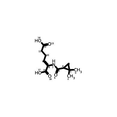 CC1(C)CC1C(=O)N/C(=C\CCC(=O)O)C(=O)O